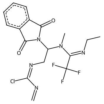 C=N/C(Cl)=N\CC(N1C(=O)c2ccccc2C1=O)N(C)/C(=N\CC)C(F)(F)F